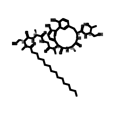 CCCCCCCCCCCCCCCC(=O)N(C)[C@H](CO)C(=O)N[C@H](C)C(=O)NCC(=O)N(C)[C@@H]1C(=O)N[C@@H](C)C(=O)N[C@H](C(=O)N[C@H](CO)C(C)O)Cc2ccc(O)c(c2)-c2cc1ccc2O